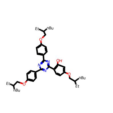 CCCCC(CC)COc1ccc(-c2nc(-c3ccc(OCC(CC)CCCC)cc3)nc(-c3ccc(OCC(CC)CCCC)cc3O)n2)cc1